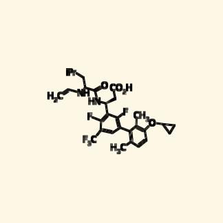 C=CNC(CC(C)C)C(=O)N[C@@H](CC(=O)O)c1c(F)c(-c2c(C)ccc(OC3CC3)c2C)cc(C(F)(F)F)c1F